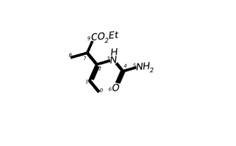 CC=C(NC(N)=O)C(C)C(=O)OCC